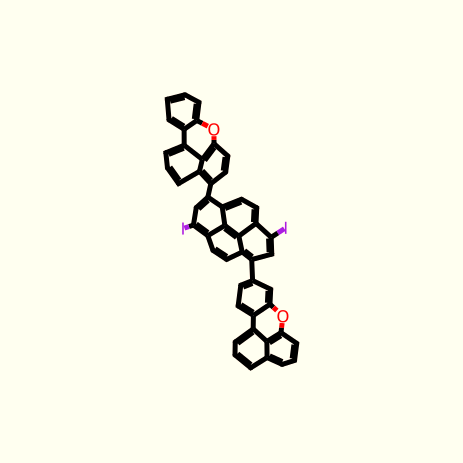 Ic1cc(-c2ccc3c(c2)Oc2cccc4cccc-3c24)c2ccc3c(I)cc(-c4ccc5c6c(cccc46)-c4ccccc4O5)c4ccc1c2c34